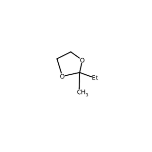 CCC1(C)OCCO1